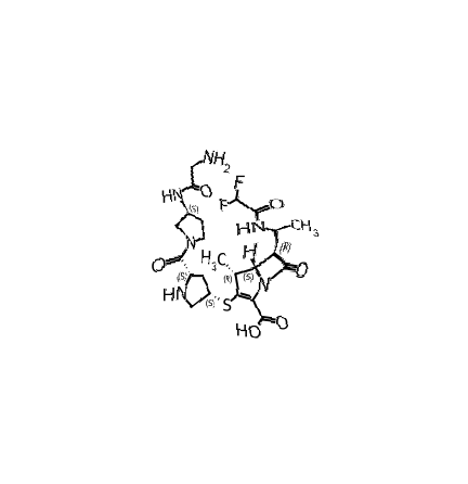 CC(NC(=O)C(F)F)[C@H]1C(=O)N2C(C(=O)O)=C(S[C@@H]3CN[C@H](C(=O)N4CC[C@H](NC(=O)CN)C4)C3)[C@H](C)[C@H]12